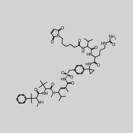 CNC(C(=O)NC(C(=O)N(C)C(/C=C(\C)C(=O)NS(=O)(=O)Cc1ccc(C2(NC(=O)C(CCCNC(N)=O)NC(=O)C(NC(=O)CCCCCN3C(=O)C=CC3=O)C(C)C)CC2)cc1)C(C)C)C(C)(C)C)C(C)(C)c1ccccc1